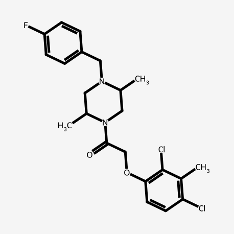 Cc1c(Cl)ccc(OCC(=O)N2CC(C)N(Cc3ccc(F)cc3)CC2C)c1Cl